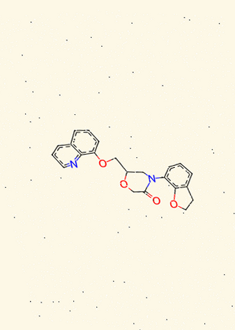 O=C1COC(COc2cccc3cccnc23)CN1c1cccc2c1OCC2